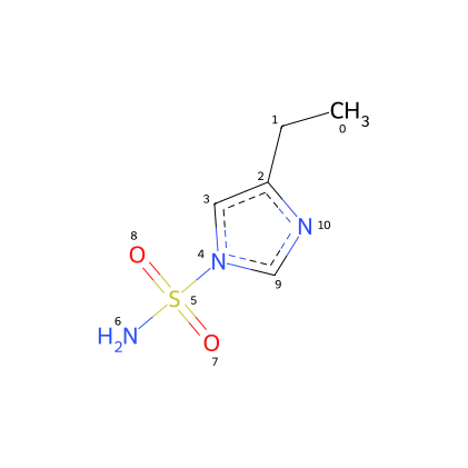 CCc1cn(S(N)(=O)=O)cn1